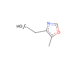 Cc1ocnc1CC(=O)O